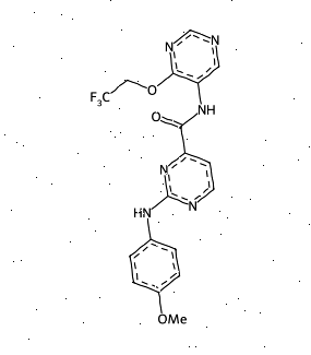 COc1ccc(Nc2nccc(C(=O)Nc3cncnc3OCC(F)(F)F)n2)cc1